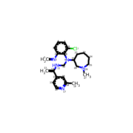 C=Nc1cccc(Cl)c1N(CNC(=C)c1ccnc(C)c1)C1CCCCN(C)C1